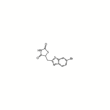 O=C1NC(=O)C(Cc2nc3ccc(Br)cc3s2)S1